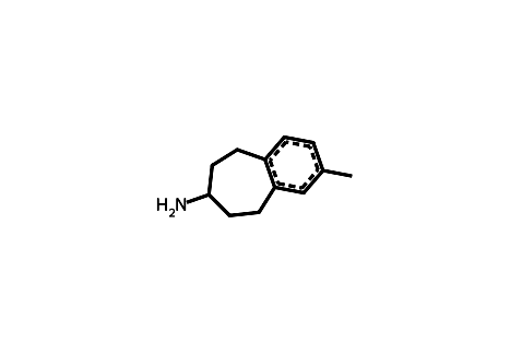 Cc1ccc2c(c1)CCC(N)CC2